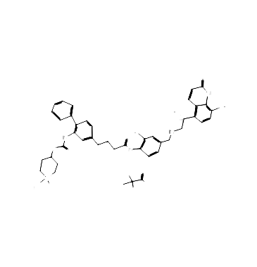 C[N+]1(C)CCC(OC(=O)Nc2cc(CCCC(=O)Nc3ccc(CNC[C@H](O)c4ccc(O)c5[nH]c(=O)ccc45)cc3Br)ccc2-c2ccccc2)CC1.O=C([O-])C(F)(F)F